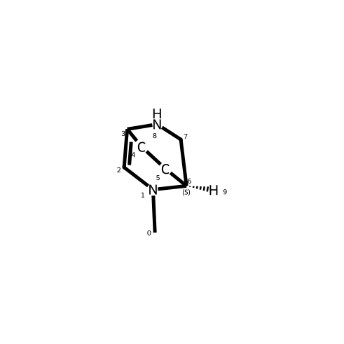 CN1C=C2CC[C@H]1CN2